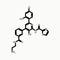 N#Cc1c(-c2cccc(C(=O)NCCN)c2)cc(-c2ccc(Cl)cc2O)nc1NC(=O)c1nccs1